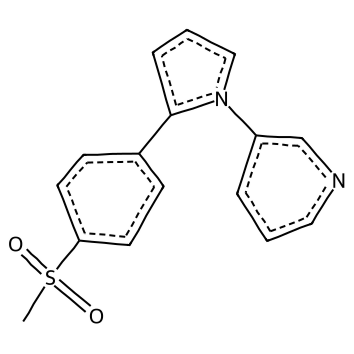 CS(=O)(=O)c1ccc(-c2cccn2-c2cccnc2)cc1